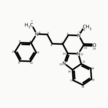 CN1CC(CCN(C)c2ccccc2)c2nc3ccccc3n2C1=O